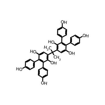 CC(C)(c1cc(O)c(-c2ccc(O)cc2)c(-c2ccc(O)cc2)c1O)c1cc(O)c(-c2ccc(O)cc2)c(-c2ccc(O)cc2)c1O